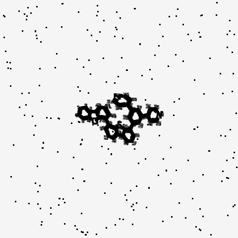 c1ccc2c(c1)oc1c(-c3cccc4c3sc3c(-c5cc(-c6ccncc6)cc(-c6ccncc6)c5)cccc34)cccc12